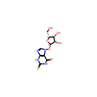 O=c1[nH]c(=S)[nH]c2ncn(O[C@H]3O[C@H](CO)[C@@H](O)[C@H]3O)c12